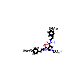 COc1ccc(CCNC(=O)[C@@H]2CN(C(=O)O)C[C@H]2C(=O)NCCc2ccc(OC)cc2)cc1